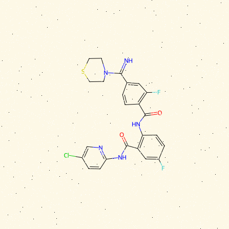 N=C(c1ccc(C(=O)Nc2ccc(F)cc2C(=O)Nc2ccc(Cl)cn2)c(F)c1)N1CCSCC1